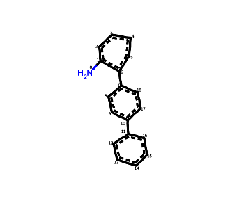 Nc1ccccc1-c1ccc(-c2ccccc2)cc1